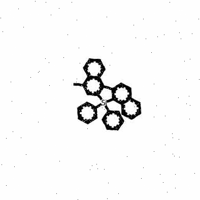 Cc1cc2c(c3ccccc13)-c1ccc3ccccc3c1[Si]2(c1ccccc1)c1ccccc1